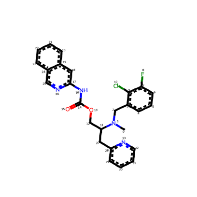 CN(Cc1cccc(F)c1Cl)C(COC(=O)Nc1cc2ccccc2cn1)Cc1ccccn1